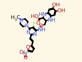 CN1CCN(c2nc(/C=C/c3ccc([N+](=O)[O-])o3)nc(NOCC3Nc4cc(O)c(O)cc4NC3C(=O)O)c2F)CC1